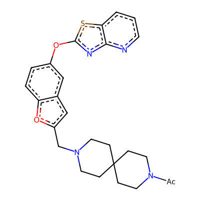 CC(=O)N1CCC2(CCN(Cc3cc4cc(Oc5nc6ncccc6s5)ccc4o3)CC2)CC1